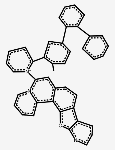 Cc1ccc(-c2ccccc2-c2ccccc2)cc1-c1cccc[n+]1-c1cc2ccc3c4cccnc4oc3c2c2cccc[n+]12